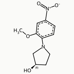 COc1cc([N+](=O)[O-])ccc1N1CC[C@@H](O)C1